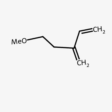 C=CC(=C)CCOC